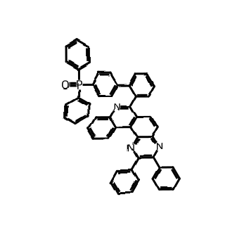 O=P(c1ccccc1)(c1ccccc1)c1ccc(-c2ccccc2-c2nc3ccccc3c3c2ccc2nc(-c4ccccc4)c(-c4ccccc4)nc23)cc1